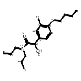 CCCCSc1ccc(C(O)C(=O)N(CCC)CCC)cc1C